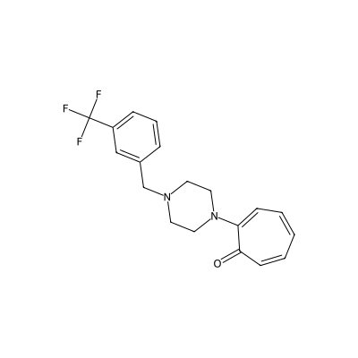 O=c1cccccc1N1CCN(Cc2cccc(C(F)(F)F)c2)CC1